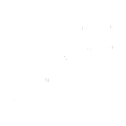 CC(C)(C)OC(=O)N1CCN(CC[O])CC1